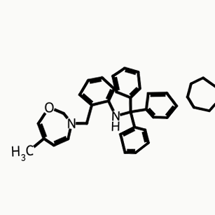 C1CCCCCC1.CC1=COCN(Cc2ccccc2NC(c2ccccc2)(c2ccccc2)c2ccccc2)C=C1